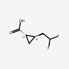 O=C(O)[C@H]1C[C@@H]1CC(F)F